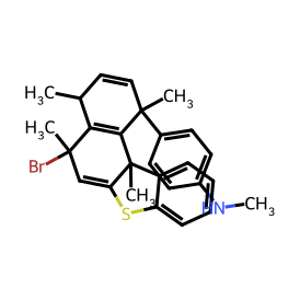 CNc1ccc(C2(C)C=CC(C)C3=C2C2(C)C(=CC3(C)Br)Sc3ccccc32)cc1